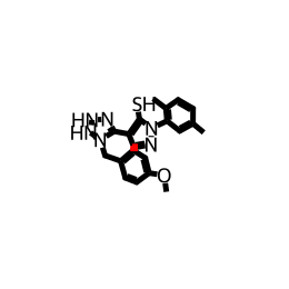 COc1ccc(CN2NNN=C2c2cnn(-c3cc(C)ccc3C)c2S)cc1